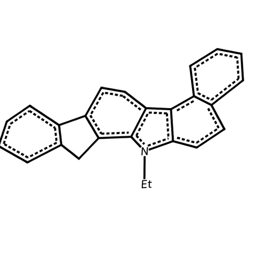 CCn1c2ccc3ccccc3c2c2ccc3c(c21)Cc1ccccc1-3